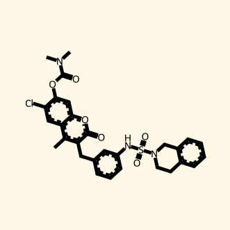 Cc1c(Cc2cccc(NS(=O)(=O)N3CCc4ccccc4C3)c2)c(=O)oc2cc(OC(=O)N(C)C)c(Cl)cc12